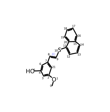 COc1cc(O)cc(/C=C/Sc2cccc3ccccc23)c1